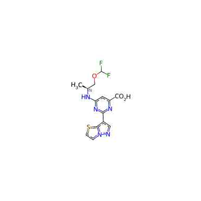 C[C@@H](COC(F)F)Nc1cc(C(=O)O)nc(-c2cnn3ccsc23)n1